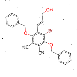 N#Cc1c(C#N)c(OCc2ccccc2)c(C=CCO)c(Br)c1OCc1ccccc1